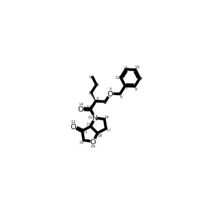 CCC[C@@H](COCc1ccccc1)C(=O)N1CCC2OCC(=O)C21